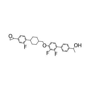 CC(O)c1ccc(-c2ccc(OCC3CCC(c4ccc(C5CO5)cc4F)CC3)c(F)c2F)cc1